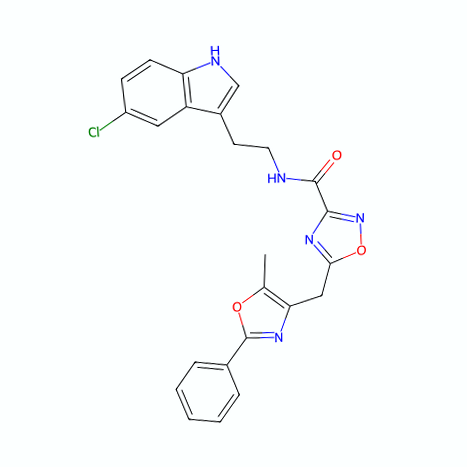 Cc1oc(-c2ccccc2)nc1Cc1nc(C(=O)NCCc2c[nH]c3ccc(Cl)cc23)no1